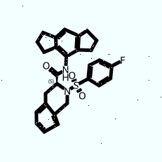 O=C(Nc1c2c(cc3c1CCC3)CCC2)[C@@H]1Cc2ccccc2CN1S(=O)(=O)c1ccc(F)cc1